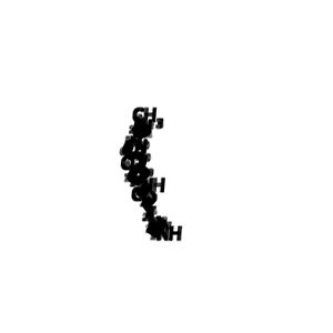 Cn1cc(-n2ccc(=O)c(Cc3cccc(NC(=O)OCCCN4CCNCC4)c3)n2)cn1